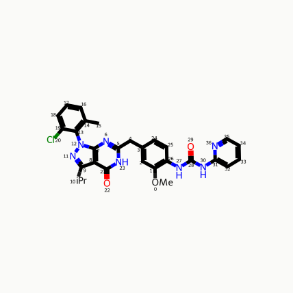 COc1cc(Cc2nc3c(c(C(C)C)nn3-c3c(C)cccc3Cl)c(=O)[nH]2)ccc1NC(=O)Nc1ccccn1